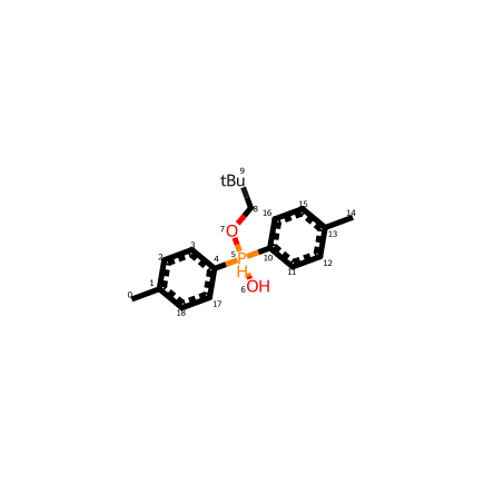 Cc1ccc([PH](O)(OCC(C)(C)C)c2ccc(C)cc2)cc1